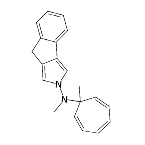 CN(n1cc2c(c1)-c1ccccc1C2)C1(C)C=CC=CC=C1